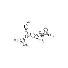 Cc1cc(CC(=O)N2C[C@@H](N3C[C@@H](C)O[C@@H](C)C3)C[C@H]2CO[C@H]2CC[C@H](C=O)CC2)c(F)cc1NC(=O)c1cn(C)c2ccccc12